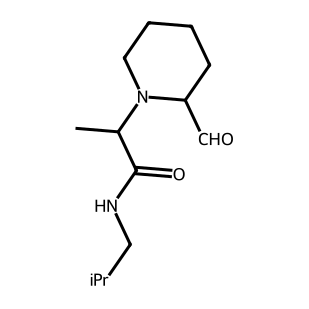 CC(C)CNC(=O)C(C)N1CCCCC1C=O